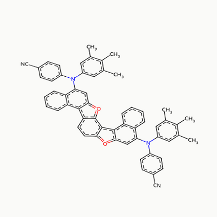 Cc1cc(N(c2ccc(C#N)cc2)c2cc3oc4c(ccc5oc6cc(N(c7ccc(C#N)cc7)c7cc(C)c(C)c(C)c7)c7ccccc7c6c54)c3c3ccccc23)cc(C)c1C